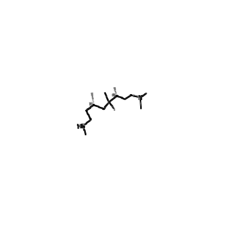 CNCC[C@H](C)CC(C)(C)[C@H](C)CCN(C)C